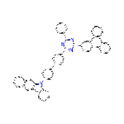 c1ccc(-c2nc(-c3ccc(-c4ccc(-n5c6ccccc6c6cc7ccccc7cc65)cc4)cc3)nc(-c3ccc4c5ccccc5c5ccccc5c4c3)n2)cc1